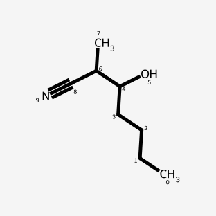 CCCCC(O)C(C)C#N